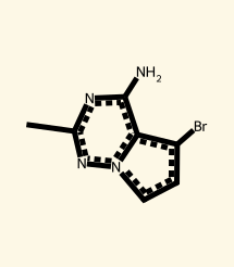 Cc1nc(N)c2c(Br)ccn2n1